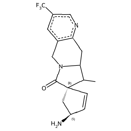 CC1C2Cc3ncc(C(F)(F)F)cc3CN2C(=O)[C@]12C=C[C@@H](N)C2